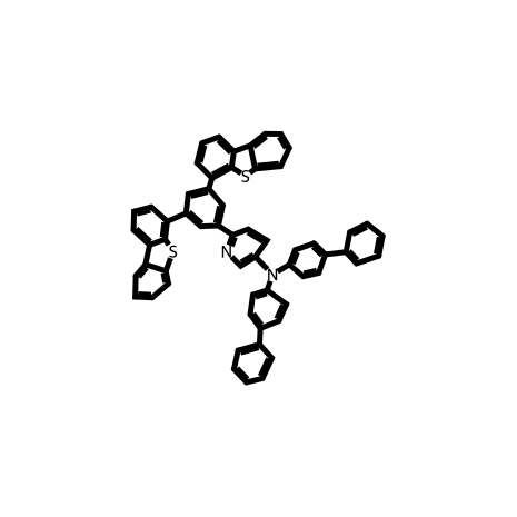 c1ccc(-c2ccc(N(c3ccc(-c4ccccc4)cc3)c3ccc(-c4cc(-c5cccc6c5sc5ccccc56)cc(-c5cccc6c5sc5ccccc56)c4)nc3)cc2)cc1